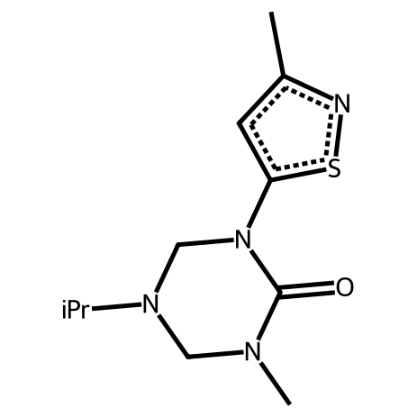 Cc1cc(N2CN(C(C)C)CN(C)C2=O)sn1